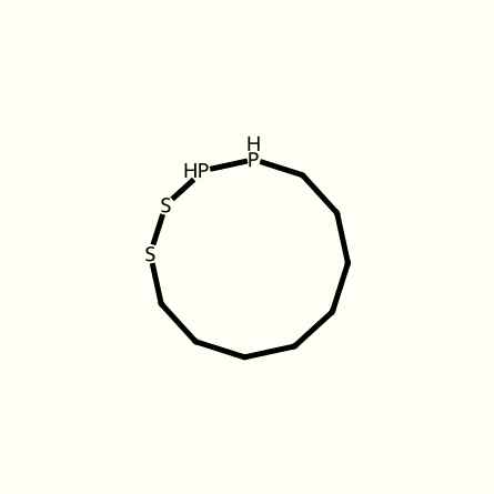 C1CCCCSSPPCCC1